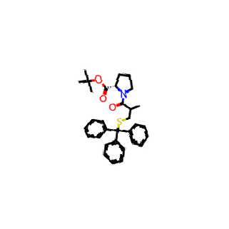 CC(CSC(c1ccccc1)(c1ccccc1)c1ccccc1)C(=O)N1CCC[C@H]1C(=O)OC(C)(C)C